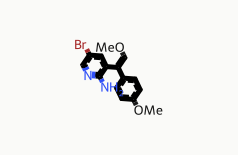 COC=C(c1ccc(OC)cc1)c1cc(Br)cnc1N